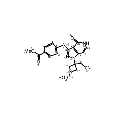 COC(=O)c1ccc(Nc2nn(C3(CC#N)CN(C(=O)O)C3)c3cc[nH]c(=O)c23)cc1